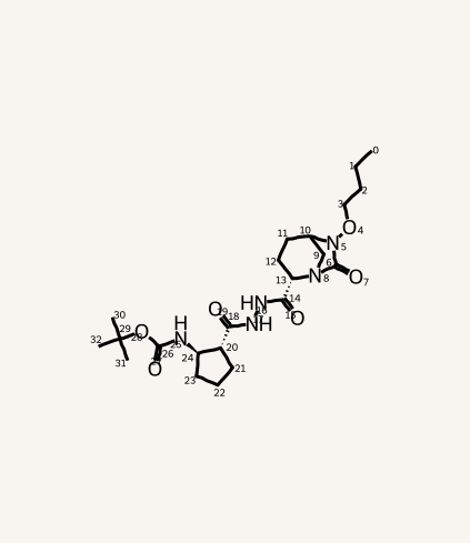 CCCCON1C(=O)N2CC1CC[C@H]2C(=O)NNC(=O)[C@@H]1CCC[C@H]1NC(=O)OC(C)(C)C